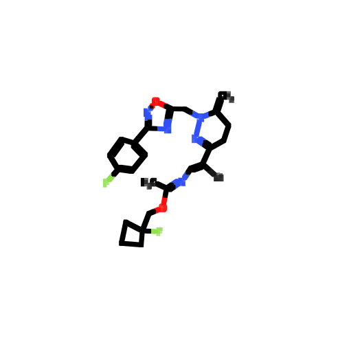 C=C1CCC(/C(=C/N=C(\C)OCC2(F)CCC2)CC)=NN1Cc1nc(-c2ccc(F)cc2)no1